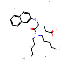 CCCCCN(CCCCC)C(=O)[C@@H](CCC(=O)O)Nc1ccc2ccccc2c1